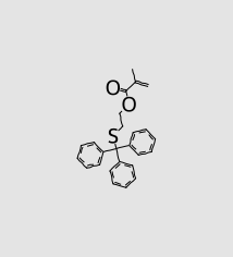 C=C(C)C(=O)OCCSC(c1ccccc1)(c1ccccc1)c1ccccc1